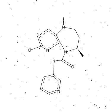 C[C@@H]1CCN(C)c2ccc(Cl)nc2N1C(=O)Nc1cccnc1